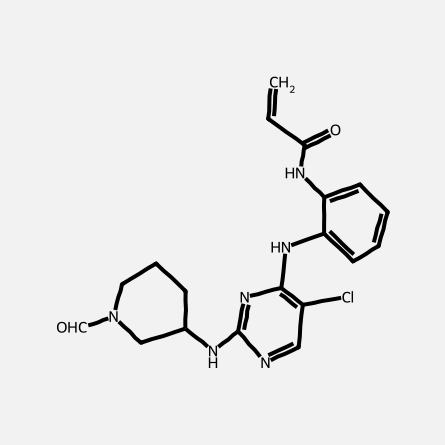 C=CC(=O)Nc1ccccc1Nc1nc(NC2CCCN(C=O)C2)ncc1Cl